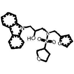 O=S(=O)(C1CCOC1)N(Cc1ccco1)CC(O)Cn1c2ccccc2c2ccccc21